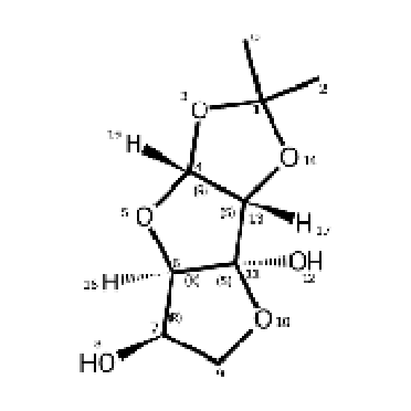 CC1(C)O[C@H]2O[C@@H]3[C@H](O)CO[C@]3(O)[C@H]2O1